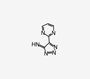 N=C1N=NN=C1c1ncccn1